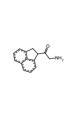 NCC(=O)C1Cc2cccc3cccc1c23